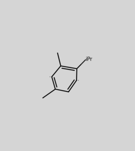 Cc1[c]c(C)c(C(C)C)[c]c1